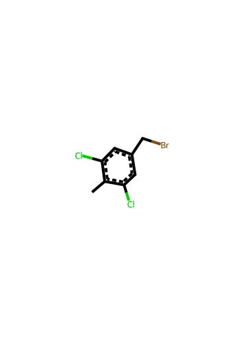 Cc1c(Cl)cc(CBr)cc1Cl